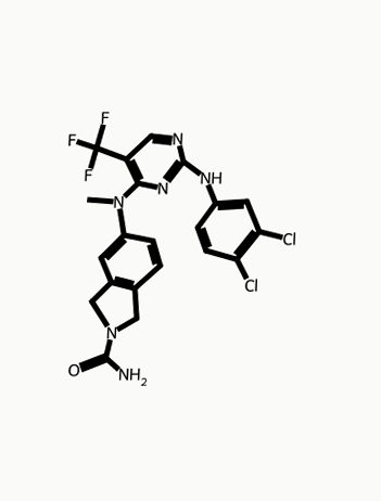 CN(c1ccc2c(c1)CN(C(N)=O)C2)c1nc(Nc2ccc(Cl)c(Cl)c2)ncc1C(F)(F)F